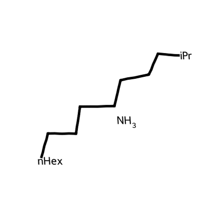 CCCCCCCCCCCCCC(C)C.N